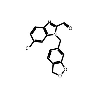 O=Cc1nc2ccc(Cl)cc2n1Cc1ccc2c(c1)OOC2